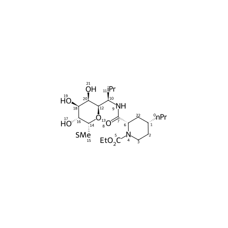 CCC[C@@H]1CCN(C(=O)OCC)[C@H](C(=O)N[C@H](C(C)C)[C@H]2O[C@H](SC)[C@H](O)[C@@H](O)[C@H]2O)C1